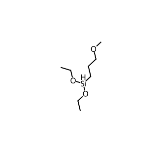 CCO[SiH](CCCOC)OCC